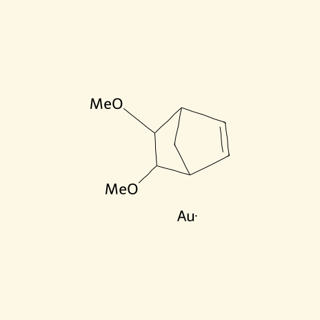 COC1C2C=CC(C2)C1OC.[Au]